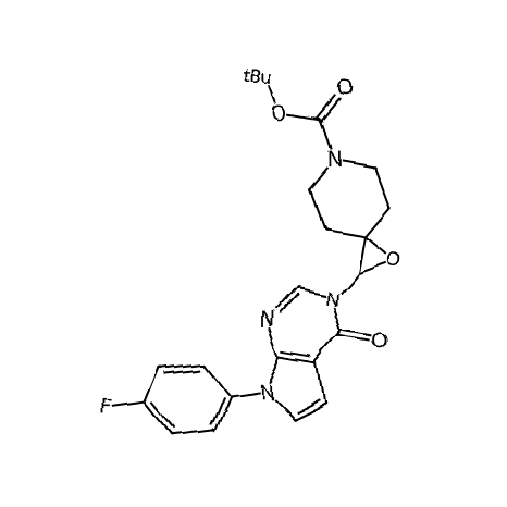 CC(C)(C)OC(=O)N1CCC2(CC1)OC2n1cnc2c(ccn2-c2ccc(F)cc2)c1=O